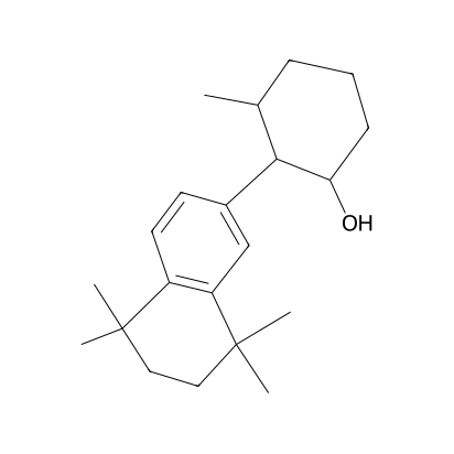 CC1CCCC(O)C1c1ccc2c(c1)C(C)(C)CCC2(C)C